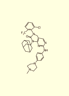 CN1CCN(c2ccc(Nc3ncc4c(n3)N(C35CC6CC(CC(C6)C3)C5)C(=O)N(c3c(Cl)cccc3C(F)(F)F)C4)cc2)CC1